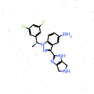 C[C@@H](c1cc(F)cc(F)c1)n1nc(-c2nc3c([nH]2)CNC3)c2cc(N)ccc21